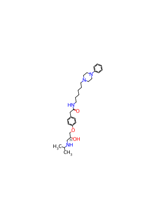 CC(C)NC[C@H](O)COc1ccc(CC(=O)NCCCCCCN2CCN(c3ccccc3)CC2)cc1